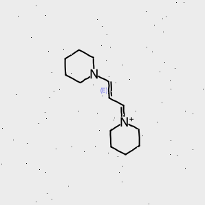 C(/C=C/N1CCCCC1)=[N+]1CCCCC1